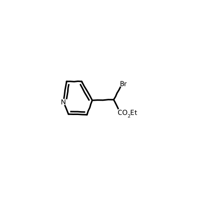 CCOC(=O)C(Br)c1ccncc1